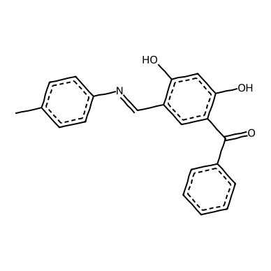 Cc1ccc(N=Cc2cc(C(=O)c3ccccc3)c(O)cc2O)cc1